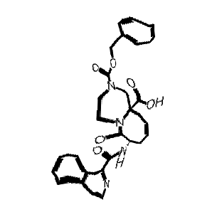 O=C(N[C@H]1C/C=C\C[C@@]2(C(=O)O)CN(C(=O)OCc3ccccc3)CCN2C1=O)c1nccc2ccccc12